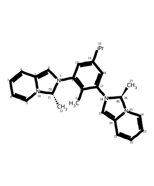 Cc1c(N2C=C3C=CC=CN3[C@H]2C)cc(C(C)C)cc1N1C=C2C=CC=CN2[C@@H]1C